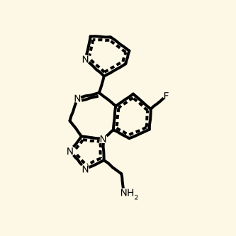 NCc1nnc2n1-c1ccc(F)cc1C(c1ccccn1)=NC2